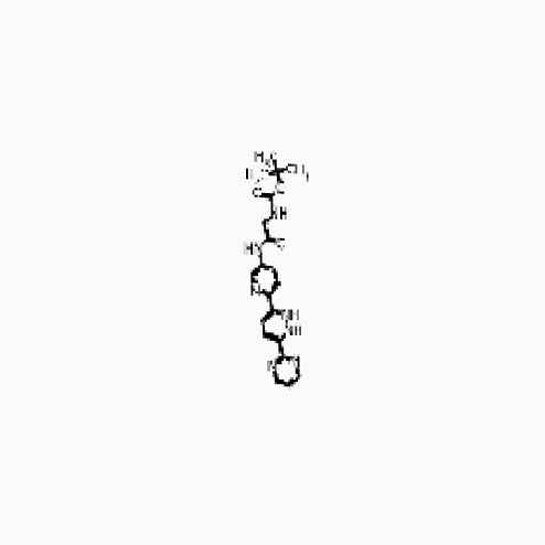 CC(C)(C)OC(=O)NCC(=O)Nc1ccc(C2=CC=C(c3ncccn3)NN2)nc1